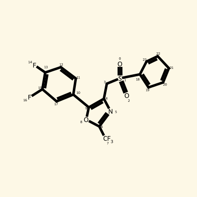 O=S(=O)(Cc1nc(C(F)(F)F)oc1-c1ccc(F)c(F)c1)c1ccccc1